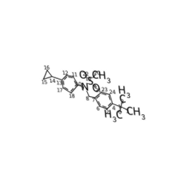 CC(C)(C)c1ccc(CN(c2ccc(C3CC3)cc2)S(C)(=O)=O)cc1